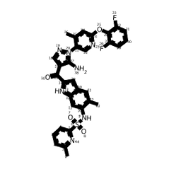 Cc1cccc(S(=O)(=O)Nc2cc3[nH]c(C(=O)c4cnn(-c5cnc(Oc6c(F)cccc6F)cc5C)c4N)cc3cc2C)n1